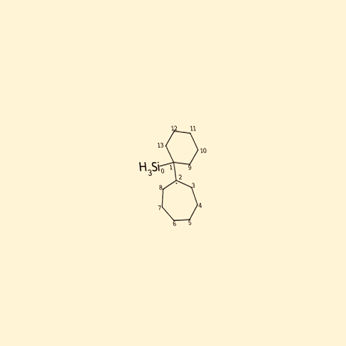 [SiH3]C1([C]2CCCCCC2)CCCCC1